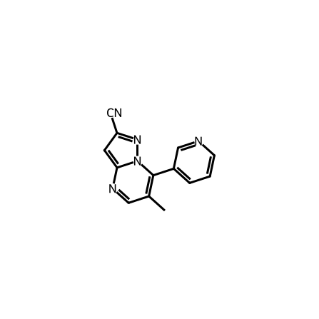 Cc1cnc2cc(C#N)nn2c1-c1cccnc1